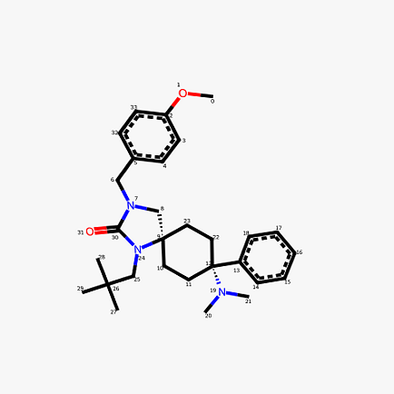 COc1ccc(CN2C[C@]3(CC[C@@](c4ccccc4)(N(C)C)CC3)N(CC(C)(C)C)C2=O)cc1